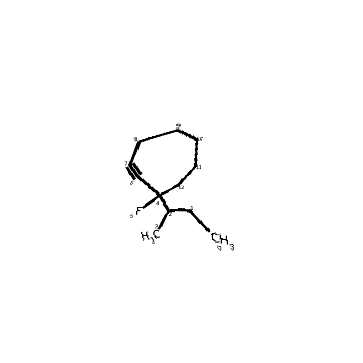 CCC(C)C1(F)C#CCCCCC1